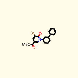 COC(=O)c1cc(Br)c(=O)n(C2CCCC(c3ccccc3)C2)c1